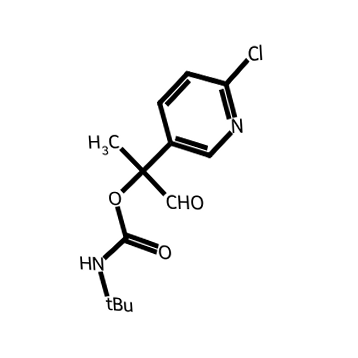 CC(C)(C)NC(=O)OC(C)(C=O)c1ccc(Cl)nc1